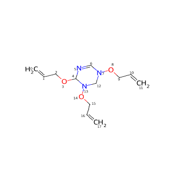 C=CCOC1N=CN(OCC=C)CN1OCC=C